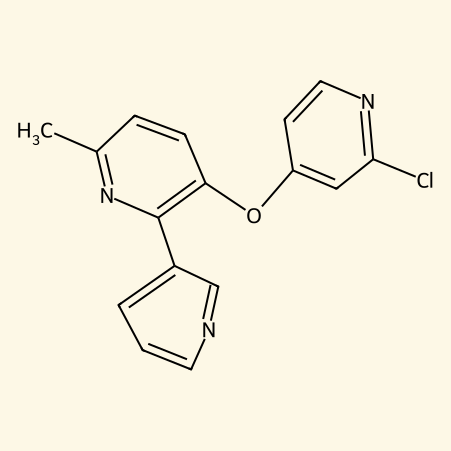 Cc1ccc(Oc2ccnc(Cl)c2)c(-c2cccnc2)n1